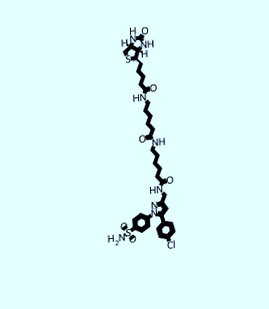 NS(=O)(=O)c1ccc(-n2nc(CNC(=O)CCCCCNC(=O)CCCCCNC(=O)CCCC[C@H]3SC[C@H]4NC(=O)N[C@H]43)cc2-c2ccc(Cl)cc2)cc1